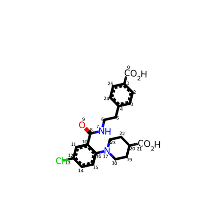 O=C(O)c1ccc(CCNC(=O)c2cc(Cl)ccc2N2CCC(C(=O)O)CC2)cc1